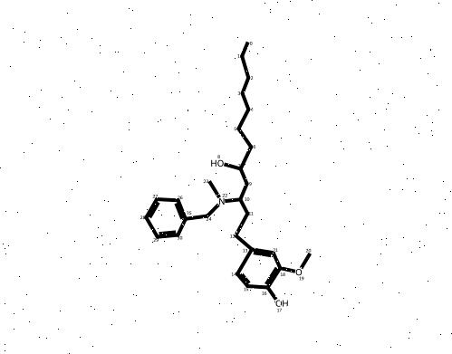 CCCCCCCC(O)CC(CCc1ccc(O)c(OC)c1)N(C)Cc1ccccc1